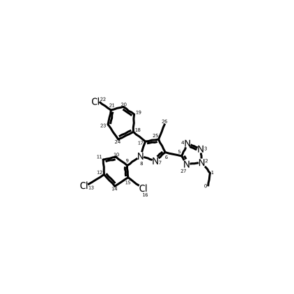 CCn1nnc(-c2nn(-c3ccc(Cl)cc3Cl)c(-c3ccc(Cl)cc3)c2C)n1